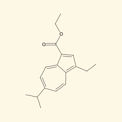 CCOC(=O)c1cc(CC)c2ccc(C(C)C)ccc1-2